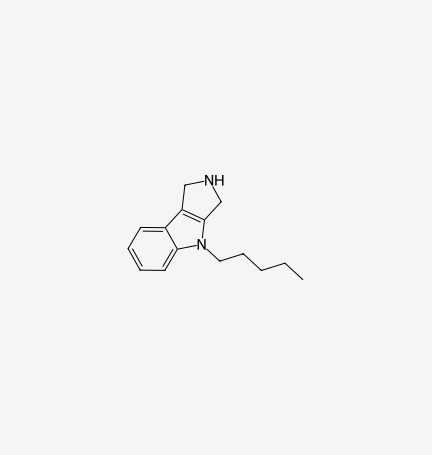 CCCCCn1c2c(c3ccccc31)CNC2